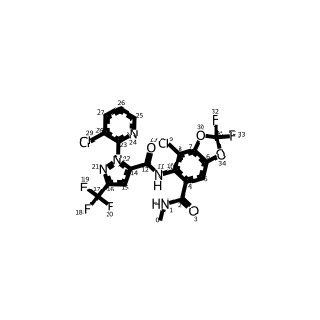 CNC(=O)c1cc2c(c(Cl)c1NC(=O)c1cc(C(F)(F)F)nn1-c1ncccc1Cl)OC(F)(F)O2